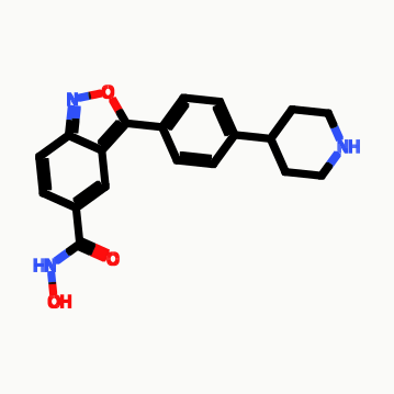 O=C(NO)c1ccc2noc(-c3ccc(C4CCNCC4)cc3)c2c1